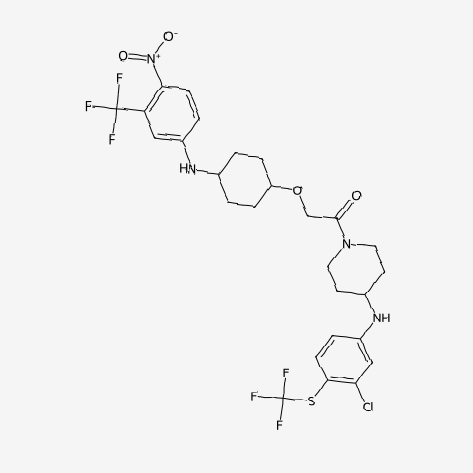 O=C(COC1CCC(Nc2ccc([N+](=O)[O-])c(C(F)(F)F)c2)CC1)N1CCC(Nc2ccc(SC(F)(F)F)c(Cl)c2)CC1